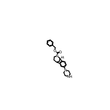 O=C(OCc1ccccc1)N1CCC2C[C@@H]1c1ccc(N3CCNCC3)cc12